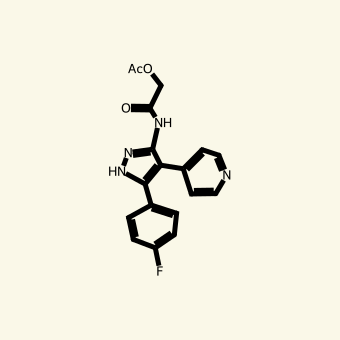 CC(=O)OCC(=O)Nc1n[nH]c(-c2ccc(F)cc2)c1-c1ccncc1